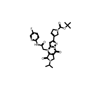 CC(C)N1Cc2c(n(CC(=O)Nc3ccc(F)cn3)c3cc(C4=CCN(C(=O)OC(C)(C)C)C4)nn3c2=O)C1=O